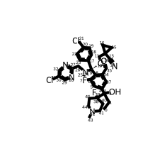 CCC(O)(c1cc(F)c([C@](OCC2(C#N)CC2)(c2ccc(Cl)cc2)N(C)Cc2ncc(Cl)cn2)c(C=O)c1)C1(F)CCN(C)CC1